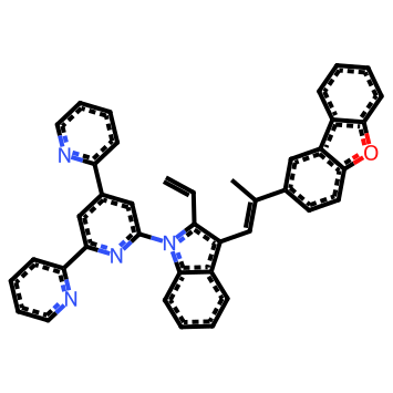 C=Cc1c(/C=C(\C)c2ccc3oc4ccccc4c3c2)c2ccccc2n1-c1cc(-c2ccccn2)cc(-c2ccccn2)n1